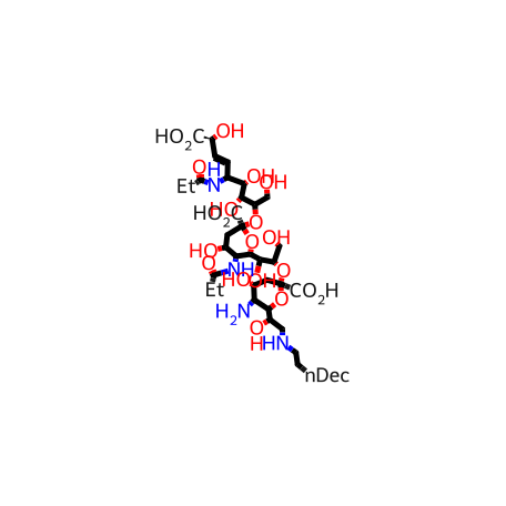 CCCCCCCCCCCCNCC(O)C1OC(OC(CO)C(O)C2OC(OC(CO)C(O)C(O)C(/C=C/[C@@H](O)C(=O)O)NC(=O)CC)(C(=O)O)CC(O)C2NC(=O)CC)(C(=O)O)CC(O)C1N